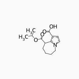 CC(C)OC(=O)C1CCCCn2ccc(C(=O)O)c21